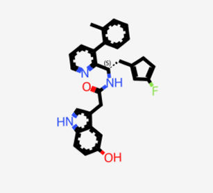 Cc1ccccc1-c1cccnc1[C@H](CC1=CC(F)=CC1)NC(=O)Cc1c[nH]c2ccc(O)cc12